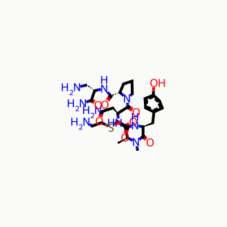 C[C@@H](C(=O)N[C@@H](CC(N)=O)C(=O)N1CCC[C@H]1C(=O)N[C@@H](CN)C(N)=O)N(C)C(=O)[C@H](Cc1ccc(O)cc1)NC(=O)CSCCN